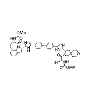 COC(=O)N[C@H]1CCc2cccc3c2N(C1=O)[C@H](c1ncc(-c2ccc(-c4ccc(-c5cnc(C6CC7(CCOCC7)CN6C(=O)[C@@H](NC(=O)OC)C(C)C)[nH]5)cc4)cc2)[nH]1)C3